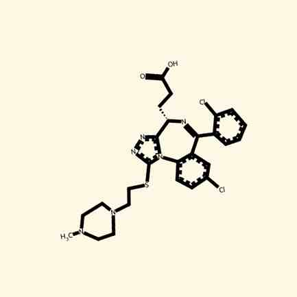 CN1CCN(CCSc2nnc3n2-c2ccc(Cl)cc2C(c2ccccc2Cl)=N[C@H]3CCC(=O)O)CC1